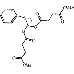 COC(=O)CCC(=O)OC(OC(=O)CCC(=O)OC)[SiH2]c1ccccc1